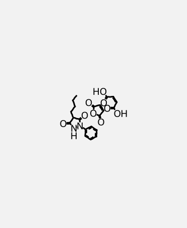 CCCCC1C(=O)NN(c2ccccc2)C1=O.O=C(O)/C=C\C(=O)O.O=C1C=CC(=O)O1